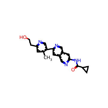 Cc1cc(CCO)ncc1-c1cc2cnc(NC(=O)C3CC3)cc2cn1